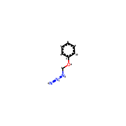 [N-]=[N+]=NCOc1ccccc1